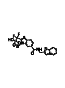 O=C(NCc1cn2ccccc2n1)c1ccc2sc(C(F)(F)P(=O)(O)O)c(Br)c2c1